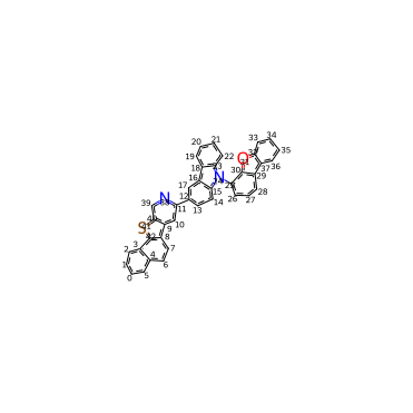 c1ccc2c(c1)ccc1c3cc(-c4ccc5c(c4)c4ccccc4n5-c4cccc5c4oc4ccccc45)ncc3sc21